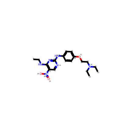 CCNc1nc(Nc2ccc(OCCN(CC)CC)cc2)ncc1[N+](=O)[O-]